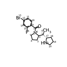 CC(C1CCCN1C(=O)c1ccc(Br)cc1F)[C@@H]1CCCN1